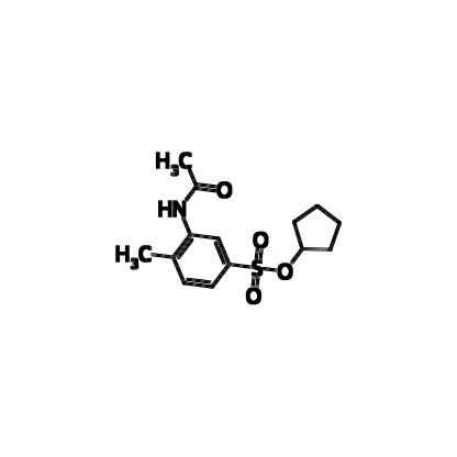 CC(=O)Nc1cc(S(=O)(=O)OC2CCCC2)ccc1C